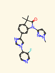 Cn1ccc(N2C(=O)C(C)(C)c3ccc(-c4cn(-c5ccncc5F)cn4)cc32)n1